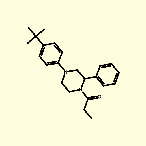 CCC(=O)N1CCN(c2ccc(C(C)(C)C)cc2)CC1c1ccccc1